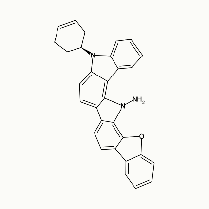 Nn1c2c(ccc3c4ccccc4oc32)c2ccc3c(c4ccccc4n3[C@@H]3CC=CCC3)c21